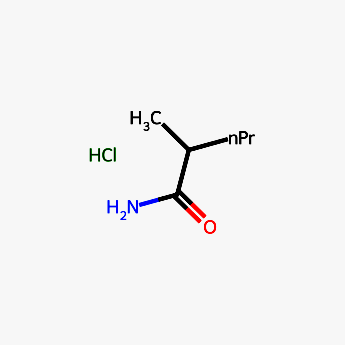 CCCC(C)C(N)=O.Cl